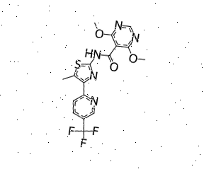 COc1ncnc(OC)c1C(=O)Nc1nc(-c2ccc(C(F)(F)F)cn2)c(C)s1